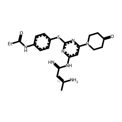 CCC(=O)Nc1ccc(Sc2nc(NC(=N)/C=C(/C)N)cc(N3CCC(=O)CC3)n2)cc1